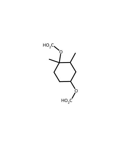 CC1CC(OC(=O)O)CCC1(C)OC(=O)O